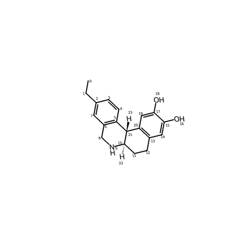 CCc1ccc2c(c1)CN[C@@H]1CCc3cc(O)c(O)cc3[C@@H]21